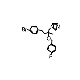 CC(CCc1ccc(Br)cc1)(Cn1ccnc1)OCc1ccc(F)cc1